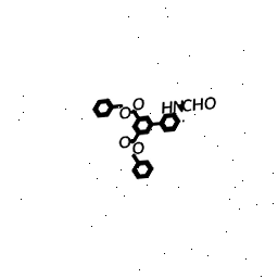 O=CNc1[c]ccc(-c2cc(C(=O)OCc3ccccc3)cc(C(=O)OCc3ccccc3)c2)c1